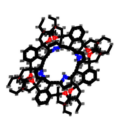 CCCC[Si](C)(O[SiH2]C)c1cccc([Si](C)(CCCC)O[SiH2]C)c1-c1c2nc(c(-c3c([Si](C)(CCCC)O[SiH2]C)cccc3[Si](C)(CCCC)O[SiH2]C)c3ccc([nH]3)c(-c3c([Si](C)(CCCC)O[SiH2]C)cccc3[Si](C)(CCCC)O[SiH2]C)c3nc(c(-c4c([Si](C)(CCCC)O[SiH2]C)cccc4[Si](C)(CCCC)O[SiH2]C)c4ccc1[nH]4)C=C3)C=C2